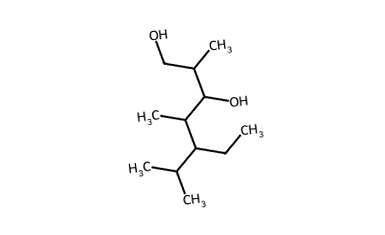 CCC(C(C)C)C(C)C(O)C(C)CO